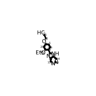 C#CCOc1ccc(-c2nc3cnncc3[nH]2)c(OCC)c1